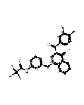 Cc1ccc(C(=O)c2cn(Cc3cccc(NC(=O)C(F)(F)F)n3)c3ccccc3c2=O)cc1C